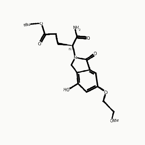 COCCOc1cc(O)c2c(c1)C(=O)N([C@@H](CCC(=O)OC(C)(C)C)C(N)=O)C2